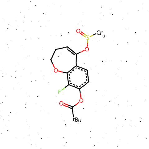 CC(C)(C)C(=O)Oc1ccc2c(c1F)OCCC=C2OS(=O)C(F)(F)F